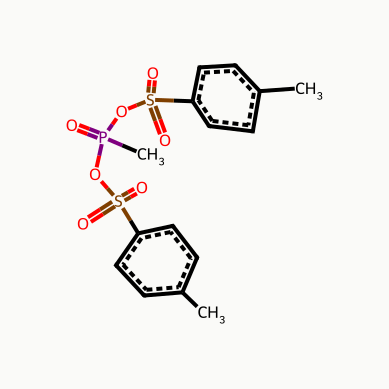 Cc1ccc(S(=O)(=O)OP(C)(=O)OS(=O)(=O)c2ccc(C)cc2)cc1